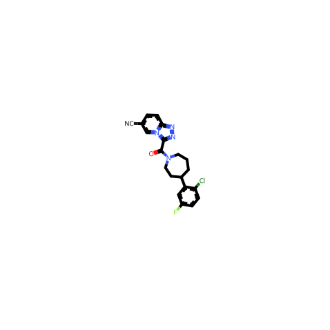 N#Cc1ccc2nnc(C(=O)N3CCCC(c4cc(F)ccc4Cl)CC3)n2c1